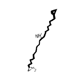 CCCCCCCCCCCCCCCCCC1CC1.N